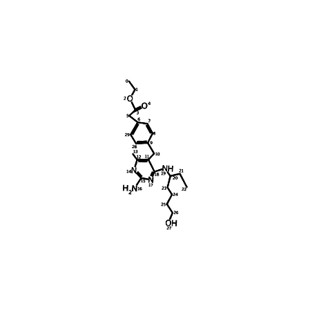 CCOC(=O)Cc1ccc(Cc2c(C)nc(N)nc2NC(CC)CCCCO)cc1